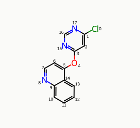 Clc1cc(Oc2ccnc3ccccc23)ncn1